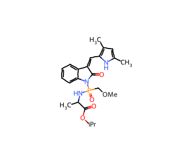 COCP(=O)(NC(C)C(=O)OC(C)C)N1C(=O)/C(=C\c2[nH]c(C)cc2C)c2ccccc21